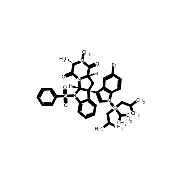 CC(C)C[Si](CC(C)C)(C(C)C)n1cc([C@]23C[C@H]4C(=O)N(C)[C@@H](C)C(=O)N4[C@H]2N(S(=O)(=O)c2ccccc2)c2ccccc23)c2cc(Br)ccc21